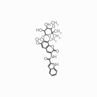 COc1cc2cc(NC(=O)c3cc4ccccc4[nH]3)c(=O)oc2c(C)c1OC1OC(C)(C)C(OC)C(O)C1O